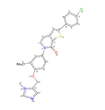 COc1cc(-n2ccc3cc(-c4ccc(Cl)cc4)sc3c2=O)ccc1OCc1cncn1C